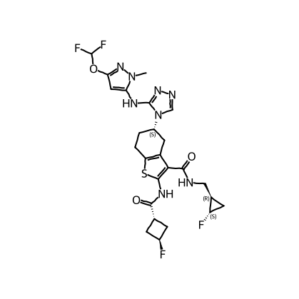 Cn1nc(OC(F)F)cc1Nc1nncn1[C@H]1CCc2sc(NC(=O)[C@H]3C[C@H](F)C3)c(C(=O)NC[C@H]3C[C@@H]3F)c2C1